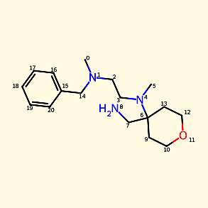 CN(CCN(C)C1(CN)CCOCC1)Cc1ccccc1